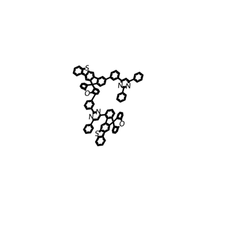 c1ccc(-c2cc(-c3cccc(-c4ccc5c(c4)-c4cc6sc7ccccc7c6cc4C54c5ccccc5Oc5c(-c6cccc(-c7nc(-c8ccccc8)cc(-c8cccc9c8-c8cc%10sc%11ccccc%11c%10cc8C98c9ccccc9Oc9ccccc98)n7)c6)cccc54)c3)nc(-c3ccccc3)n2)cc1